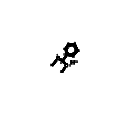 COC(OC)c1ccccc1.I